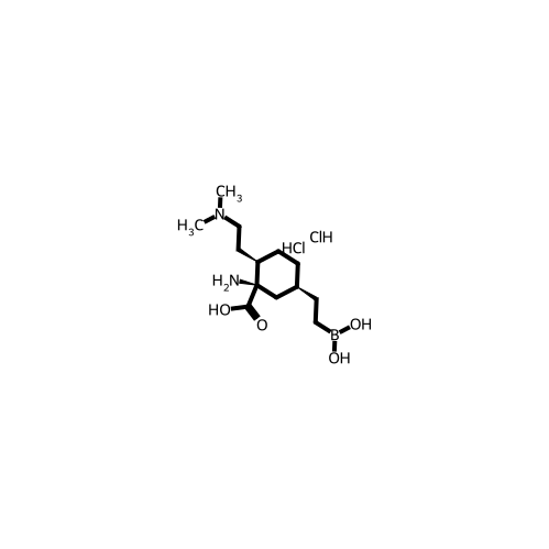 CN(C)CC[C@H]1CC[C@@H](CCB(O)O)C[C@]1(N)C(=O)O.Cl.Cl